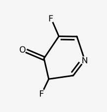 O=C1C(F)=CN=CC1F